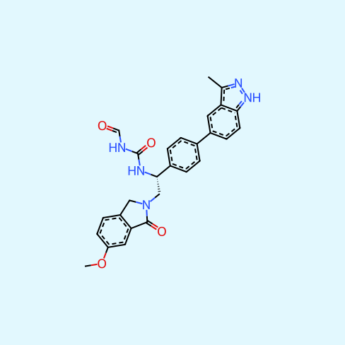 COc1ccc2c(c1)C(=O)N(C[C@H](NC(=O)NC=O)c1ccc(-c3ccc4[nH]nc(C)c4c3)cc1)C2